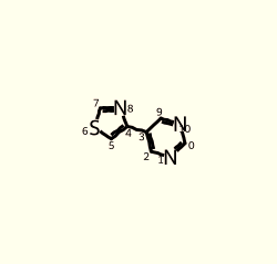 c1ncc(-c2cscn2)cn1